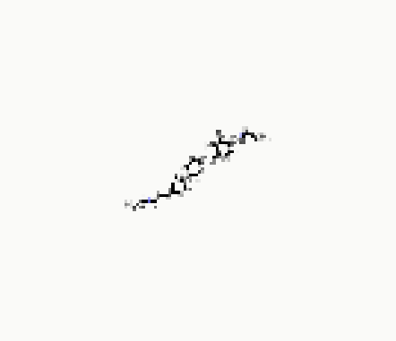 C/C=C/CCC1CCC(C2CCC(CCc3ccc(O/C=C/C)c(F)c3F)CC2)CC1